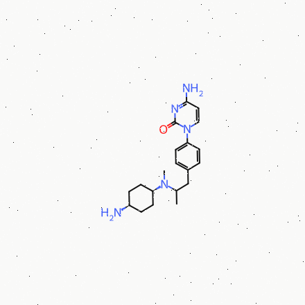 CC(Cc1ccc(-n2ccc(N)nc2=O)cc1)N(C)[C@H]1CC[C@@H](N)CC1